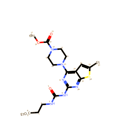 CCOC(=O)CCNC(=O)Nc1nc(N2CCN(C(=O)OC(C)(C)C)CC2)c2cc(CC)sc2n1